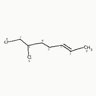 CC=CCCC(Cl)CCl